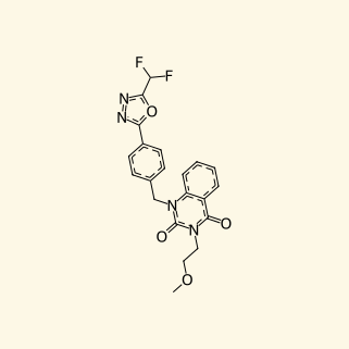 COCCn1c(=O)c2ccccc2n(Cc2ccc(-c3nnc(C(F)F)o3)cc2)c1=O